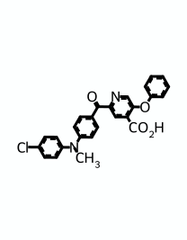 CN(c1ccc(Cl)cc1)c1ccc(C(=O)c2cc(C(=O)O)c(Oc3ccccc3)cn2)cc1